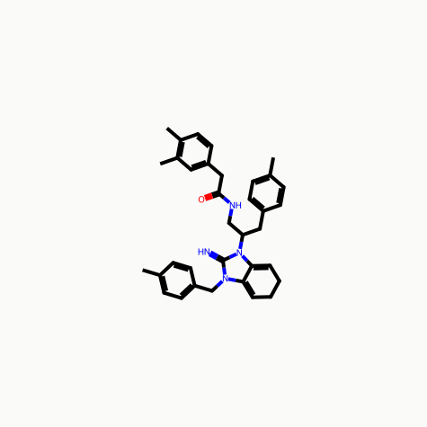 Cc1ccc(CC(CNC(=O)Cc2ccc(C)c(C)c2)n2c3c(n(Cc4ccc(C)cc4)c2=N)=CCCC=3)cc1